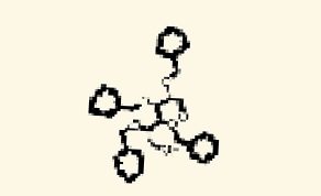 O=C[C@H](OCc1ccccc1)[C@@H](OCc1ccccc1)[C@@H](OCc1ccccc1)[C@H](CO)OCc1ccccc1